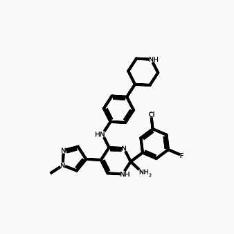 Cn1cc(C2=CNC(N)(c3cc(F)cc(Cl)c3)N=C2Nc2ccc(C3CCNCC3)cc2)cn1